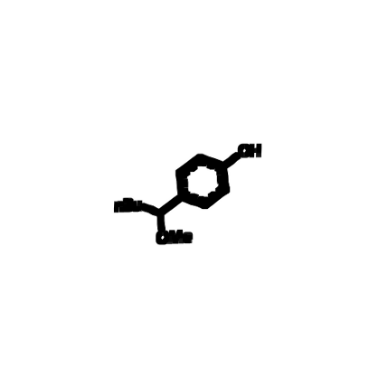 CCCCC(OC)c1ccc(O)cc1